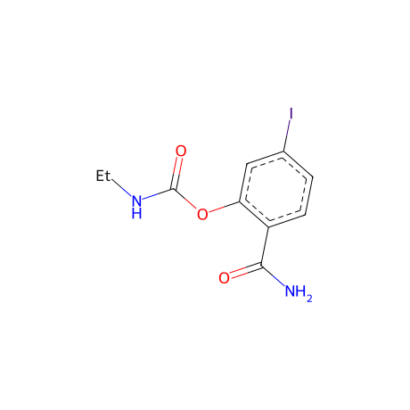 CCNC(=O)Oc1cc(I)ccc1C(N)=O